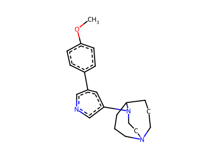 COc1ccc(-c2cncc(N3CCN4CCCC3CCC4)c2)cc1